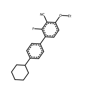 CCOc1ccc(-c2ccc(C3CCCCC3)cc2)c(F)c1C#N